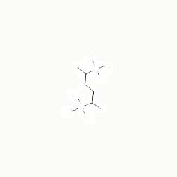 CC(CCC(C)[Si](Cl)(Cl)Cl)[Si](Cl)(Cl)Cl